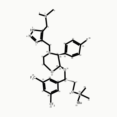 CN(C)Cc1[nH]nnc1CN1CCO[C@H](O[C@H](CO[Si](C)(C)C(C)(C)C)c2cc(C(F)(F)F)cc(C(F)(F)F)c2)[C@@H]1c1ccc(F)cc1